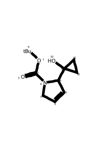 CC(C)(C)OC(=O)N1CC=CC1C1(O)CC1